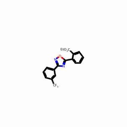 CCOC(=O)c1ccccc1-c1nc(-c2cccc(C(F)(F)F)c2)no1